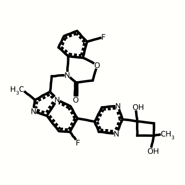 Cc1nc2cc(F)c(-c3cnc(C4(O)CC(C)(O)C4)nc3)cn2c1CN1C(=O)COc2c(F)cccc21